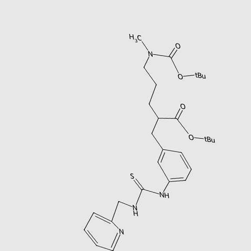 CN(CCCC(Cc1cccc(NC(=S)NCc2ccccn2)c1)C(=O)OC(C)(C)C)C(=O)OC(C)(C)C